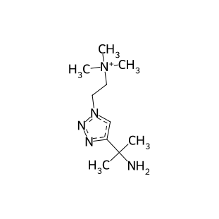 CC(C)(N)c1cn(CC[N+](C)(C)C)nn1